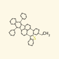 C=Cc1ccc(-c2ccc3c4c(ccc(-c5csc6ccccc56)c24)-c2c-3c(-c3ccccc3)c3ccccc3c2-c2ccccc2)cc1